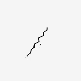 CCCCCCCCCCCN.CN